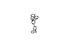 Clc1cccc2c1oc1ccc(-c3ccc4sc5ccccc5c4c3)cc12